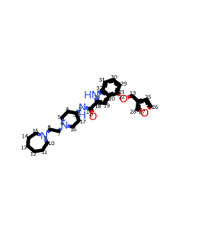 O=C(NC1CCN(CCN2CCCCCC2)CC1)c1cc2c(OCc3ccoc3)cccc2[nH]1